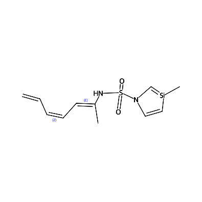 C=C/C=C\C=C(/C)NS(=O)(=O)n1cc[si](C)c1